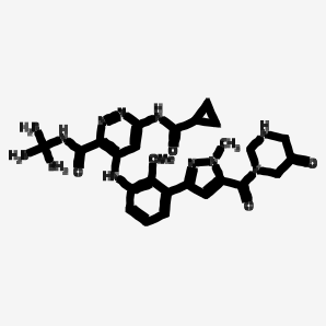 BC(B)(B)NC(=O)c1nnc(NC(=O)C2CC2)cc1Nc1cccc(-c2cc(C(=O)N3CNCC(=O)C3)n(C)n2)c1OC